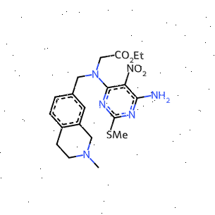 CCOC(=O)CN(Cc1ccc2c(c1)CN(C)CC2)c1nc(SC)nc(N)c1[N+](=O)[O-]